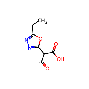 CCc1nnc(C([C]=O)C(=O)O)o1